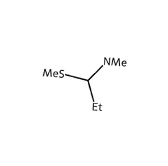 CCC(NC)SC